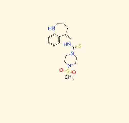 CS(=O)(=O)N1CCN(C(=S)N/C=C2/CCCNc3ccccc32)CC1